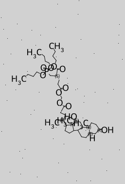 CCCCOC(=O)[C@H](CCC(=O)OCOC(=O)CC[C@@H](C)C1CCC2C3CC[C@@H]4C[C@H](O)CC[C@]4(C)C3C[C@H](O)[C@@]21C)CP(=O)(OCCCC)OCCCC